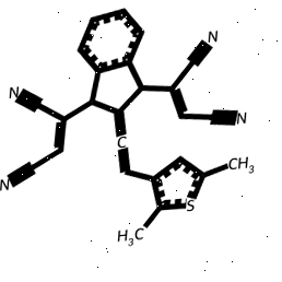 Cc1cc(C=C=C2C(C(C#N)=CC#N)c3ccccc3C2C(C#N)=CC#N)c(C)s1